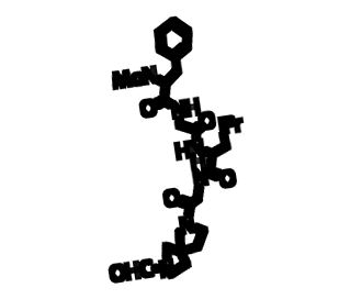 CNC(Cc1ccccc1)C(=O)NCC(=O)NC(CC(C)C)C(=O)NCC(=O)N1CCC2(CCN(C=O)C2)C1